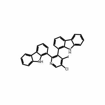 Clc1cnc(-c2cccc3c2[nH]c2ccccc23)c(-c2cccc3c2[nH]c2ccccc23)c1I